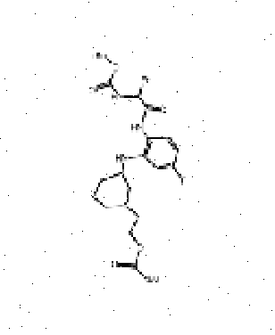 CCC(NC(=O)OC(C)(C)C)C(=O)Nc1ccc(F)cc1NC1CCCN(CCOC(=O)C(C)(C)C)C1